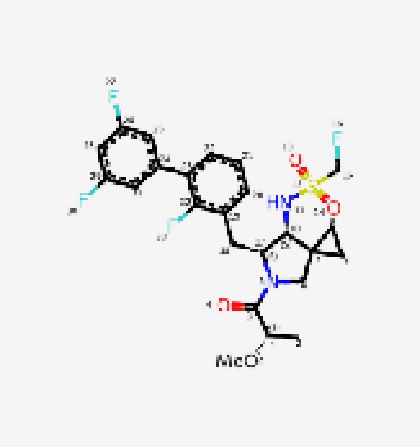 CO[C@@H](C)C(=O)N1CC2(CC2)[C@H](NS(=O)(=O)CF)[C@@H]1Cc1cccc(-c2cc(F)cc(F)c2)c1F